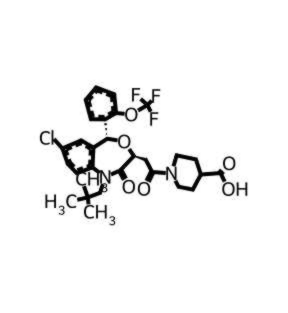 CC(C)(C)CN1C(=O)[C@H](CC(=O)N2CCC(C(=O)O)CC2)O[C@@H](c2ccccc2OC(F)(F)F)c2cc(Cl)ccc21